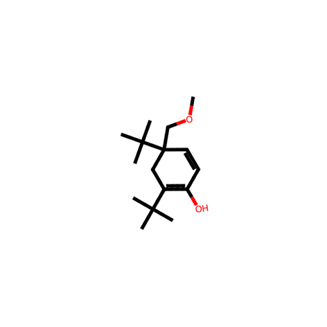 COCC1(C(C)(C)C)C=CC(O)=C(C(C)(C)C)C1